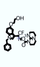 O=C(O/N=C(/c1cn(Cc2ccccc2)c2ccc(OCCO)cc12)C(F)(F)F)N1CCCN2CCCN=C21